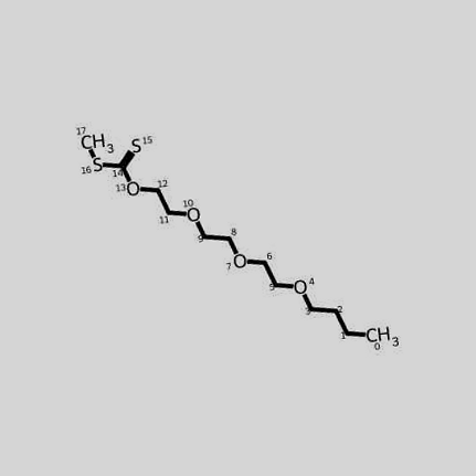 CCCCOCCOCCOCCOC(=S)SC